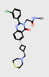 CC(C)NC(=O)Cn1c(-c2cccc(Cl)c2)nc2ccc([C@H]3C[C@H](CN4CCSCC4)C3)cc2c1=O